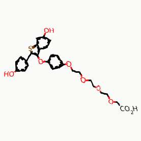 O=C(O)COCCOCCOCCOc1ccc(Oc2c(-c3ccc(O)cc3)sc3cc(O)ccc23)cc1